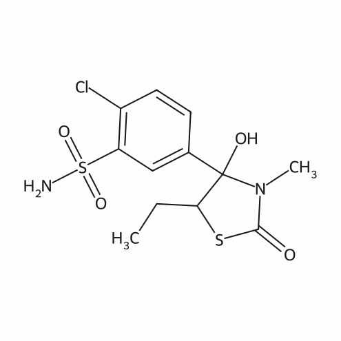 CCC1SC(=O)N(C)C1(O)c1ccc(Cl)c(S(N)(=O)=O)c1